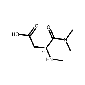 CN[C@@H](CC(=O)O)C(=O)N(C)C